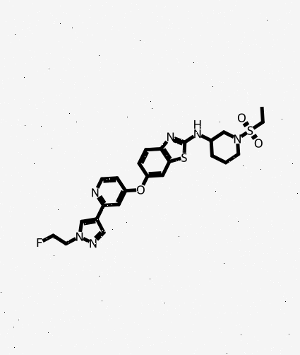 CCS(=O)(=O)N1CCCC(Nc2nc3ccc(Oc4ccnc(-c5cnn(CCF)c5)c4)cc3s2)C1